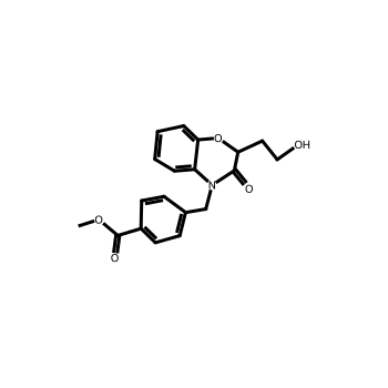 COC(=O)c1ccc(CN2C(=O)C(CCO)Oc3ccccc32)cc1